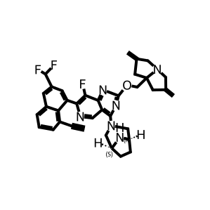 C#Cc1cccc2cc(C(F)F)cc(-c3ncc4c(N5C[C@H]6CC[C@@H](C5)N6)nc(OCC56CC(=C)CN5CC(=C)C6)nc4c3F)c12